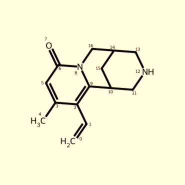 C=Cc1c(C)cc(=O)n2c1C1CNCC(C1)C2